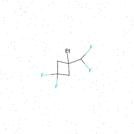 CCC1(C(F)F)CC(F)(F)C1